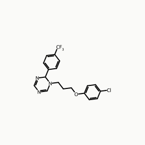 FC(F)(F)c1ccc(C2N=CN=CN2CCCOc2ccc(Cl)cc2)cc1